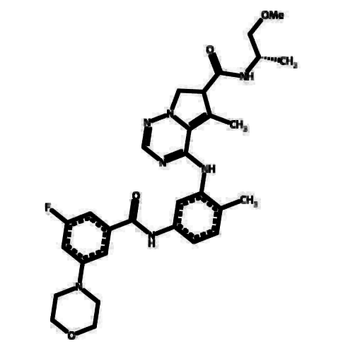 COC[C@H](C)NC(=O)C1CN2N=CN=C(Nc3cc(NC(=O)c4cc(F)cc(N5CCOCC5)c4)ccc3C)C2=C1C